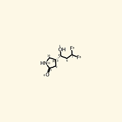 O=C1C[C@@H](C(O)CC(F)F)CN1